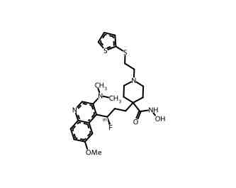 COc1ccc2ncc(N(C)C)c([C@H](F)CCC3(C(=O)NO)CCN(CCSc4cccs4)CC3)c2c1